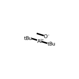 C[C](C)(C)[Al+][C](C)(C)C.C[O-]